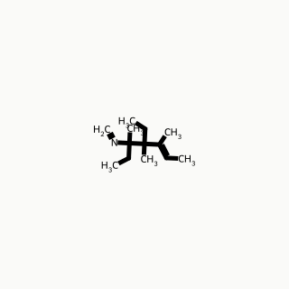 C=NC(C)(CC)C(C)(CC)/C(C)=C/C